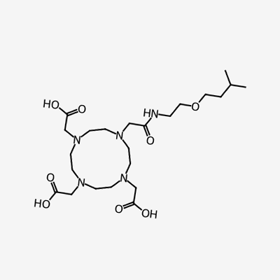 CC(C)CCOCCNC(=O)CN1CCN(CC(=O)O)CCN(CC(=O)O)CCN(CC(=O)O)CC1